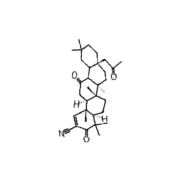 CC(=O)C[C@]12CCC(C)(C)CC1C1C(=O)C[C@@H]3[C@@]4(C)C=C(C#N)C(=O)C(C)(C)[C@@H]4CC[C@@]3(C)[C@]1(C)CC2